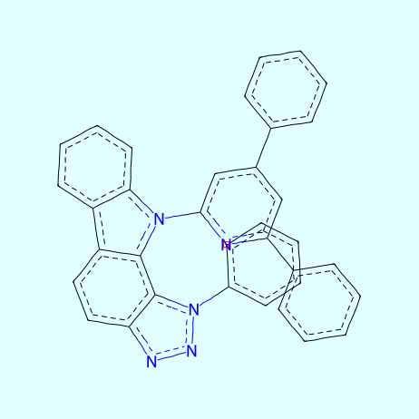 c1ccc(-c2cc(-c3ccccc3)nc(-n3c4ccccc4c4ccc5nnn(-c6ccccc6)c5c43)c2)cc1